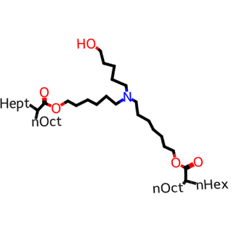 CCCCCCCCC(CCCCCC)C(=O)OCCCCCCCN(CCCCCO)CCCCCCOC(=O)C(CCCCCCC)CCCCCCCC